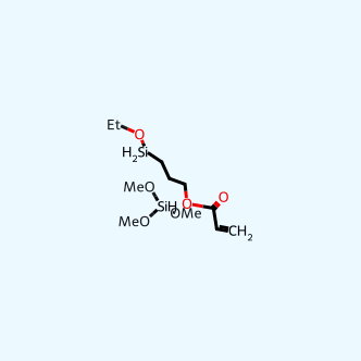 C=CC(=O)OCCC[SiH2]OCC.CO[SiH](OC)OC